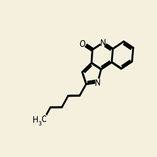 CCCCCC1=NC2=c3ccccc3=NC(=O)C2=C1